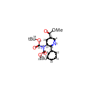 COC(=O)c1cnc(-c2ccccc2)c(N(C(=O)OC(C)(C)C)C(=O)OC(C)(C)C)c1